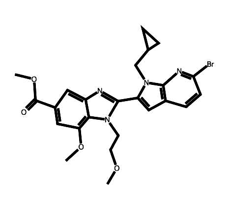 COCCn1c(-c2cc3ccc(Br)nc3n2CC2CC2)nc2cc(C(=O)OC)cc(OC)c21